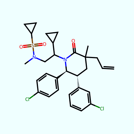 C=CCC1(C)C[C@H](c2cccc(Cl)c2)[C@@H](c2ccc(Cl)cc2)N(C(CN(C)S(=O)(=O)C2CC2)C2CC2)C1=O